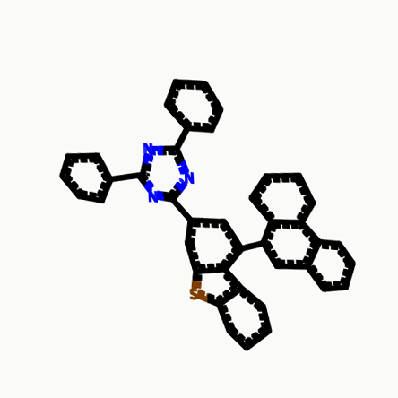 c1ccc(-c2nc(-c3ccccc3)nc(-c3cc(-c4cc5ccccc5c5ccccc45)c4c(c3)sc3ccccc34)n2)cc1